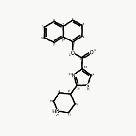 O=C(Oc1cccc2ccccc12)c1csc(C2CCNCC2)n1